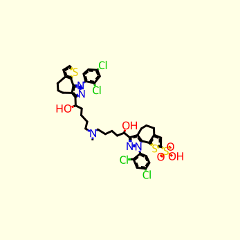 CN(CCCCC(O)c1nn(-c2ccc(Cl)cc2Cl)c2c1CCCc1ccsc1-2)CCCCC(O)c1nn(-c2ccc(Cl)cc2Cl)c2c1CCCc1cc(S(=O)(=O)O)sc1-2